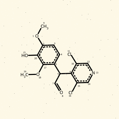 COc1ccc(C(C=O)c2c(Cl)cncc2Cl)c(OC)c1O